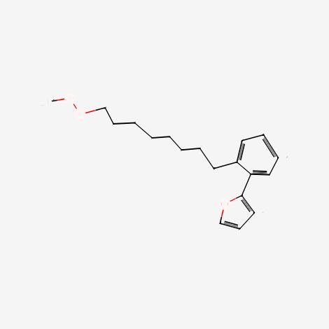 CCOOCCCCCCCCc1ccccc1-c1ccco1